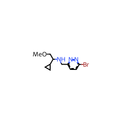 COCC(NCc1ccc(Br)nn1)C1CC1